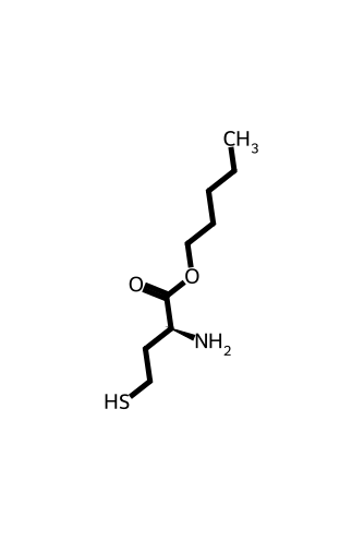 CCCCCOC(=O)[C@@H](N)CCS